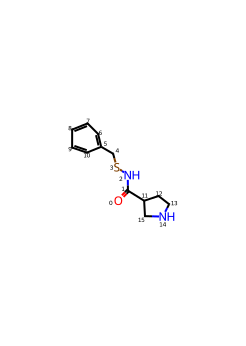 O=C(NSCc1ccccc1)C1CCNC1